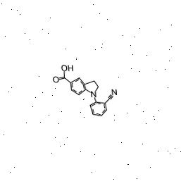 N#Cc1ccccc1N1CCc2cc(C(=O)O)ccc21